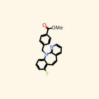 COC(=O)c1ccc(CN2c3cccc(F)c3C=Cc3cccnc32)cc1